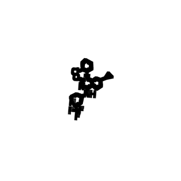 O=c1nc(Nc2ccnc(C(F)(F)F)c2)c2ccc(C3CC3)cc2n1-c1ccccc1Cl